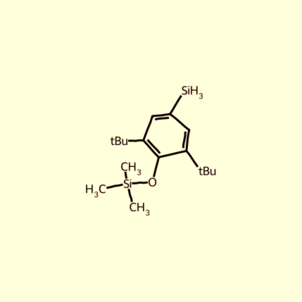 CC(C)(C)c1cc([SiH3])cc(C(C)(C)C)c1O[Si](C)(C)C